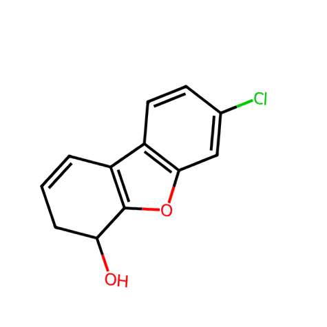 OC1CC=Cc2c1oc1cc(Cl)ccc21